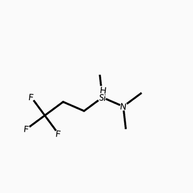 CN(C)[SiH](C)CCC(F)(F)F